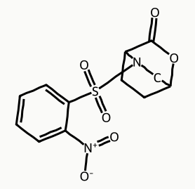 O=C1OC2CCC1N(S(=O)(=O)c1ccccc1[N+](=O)[O-])C2